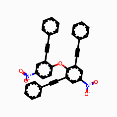 O=[N+]([O-])c1ccc(Oc2c(C#Cc3ccccc3)cc([N+](=O)[O-])cc2C#Cc2ccccc2)c(C#Cc2ccccc2)c1